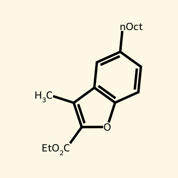 CCCCCCCCc1ccc2oc(C(=O)OCC)c(C)c2c1